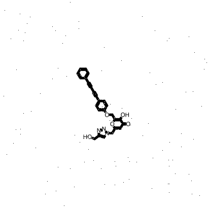 O=c1cc(Cn2cc(CO)nn2)oc(COc2ccc(C#CC#Cc3ccccc3)cc2)c1O